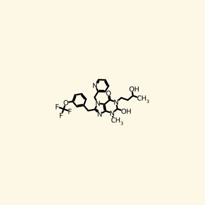 CC(O)CCN1C(=O)c2c(nc(Cc3cccc(OC(F)(F)F)c3)n2Cc2ccccn2)N(C)C1O